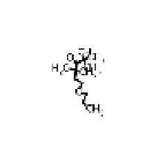 CCCOCCC(C)(C)C(=O)C(C)(C)C